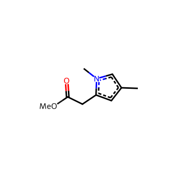 COC(=O)Cc1cc(C)cn1C